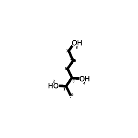 [CH2]C(O)C(O)C[C]CO